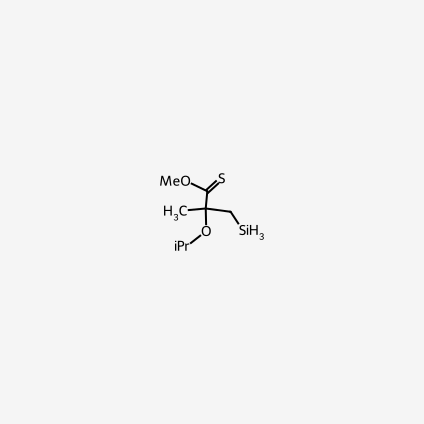 COC(=S)C(C)(C[SiH3])OC(C)C